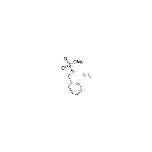 COS(=O)(=O)OCc1ccccc1.N